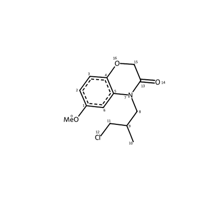 COc1ccc2c(c1)N(CC(C)CCl)C(=O)CO2